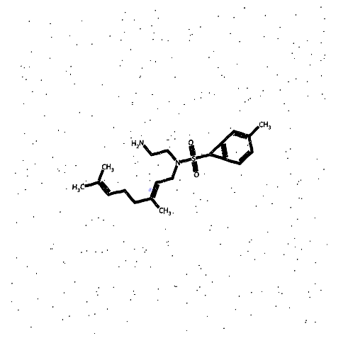 CC(C)=CCC/C(C)=C/CN(CCN)S(=O)(=O)C1c2ccc(C)cc21